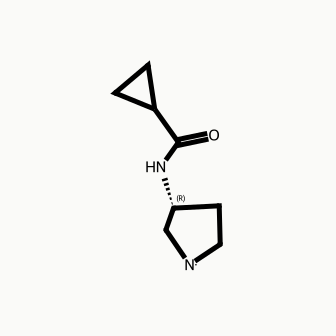 O=C(N[C@@H]1CC[N]C1)C1CC1